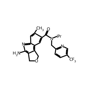 Cc1cc2nc(N)c3c(c2cc1C(=O)N(Cc1ccc(C(F)(F)F)cn1)C(C)C)COC3